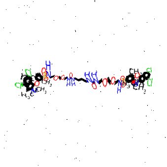 Cc1cc(S(=O)(=O)NCCOCCOCCNC(=O)NCCCCNC(=O)NCCOCCOCCNS(=O)(=O)c2ccc(C)c(O[C@H]3c4cc(Cl)cc(Cl)c4C[C@@H]3N(C)C)c2C)cc(C)c1O[C@H]1c2cc(Cl)cc(Cl)c2C[C@@H]1N(C)C